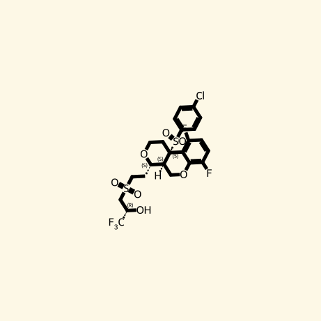 O=S(=O)(CC[C@@H]1OCC[C@@]2(S(=O)(=O)c3ccc(Cl)cc3)c3c(F)ccc(F)c3OC[C@@H]12)C[C@H](O)C(F)(F)F